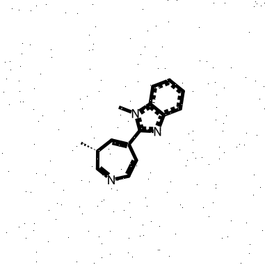 C[C@H]1C=NC=CC(c2nc3ccccc3n2C)=C1